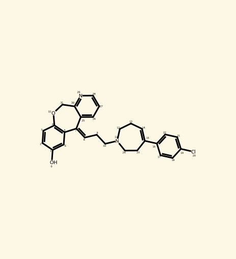 Oc1ccc2c(c1)/C(=C/CCN1CCC=C(c3ccc(Cl)cc3)CC1)c1cccnc1CO2